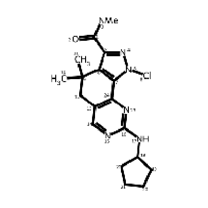 CNC(=O)c1nn(Cl)c2c1C(C)(C)Cc1cnc(NC3CCCC3)nc1-2